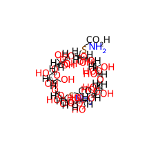 NC(CSCC1O[C@H]2O[C@@H]3C(CO)O[C@@H](O[C@@H]4C(CO)O[C@@H](O[C@@H]5C(CSCC(N)C(=O)O)O[C@@H](O[C@@H]6C(CO)O[C@H](O[C@@H]7C(CO)O[C@H](O[C@@H]8C(CO)O[C@H](O[C@H]1[C@H](O)C2O)C(O)[C@H]8O)C(O)[C@H]7O)C(O)[C@H]6O)C(O)[C@H]5O)C(O)[C@H]4O)C(O)[C@H]3O)C(=O)O